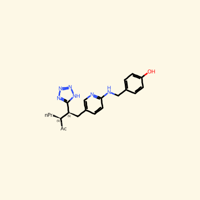 CCC[C@H](C(C)=O)[C@H](Cc1ccc(NCc2ccc(O)cc2)nc1)c1nnn[nH]1